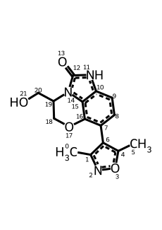 Cc1noc(C)c1-c1ccc2[nH]c(=O)n3c2c1OCC3CO